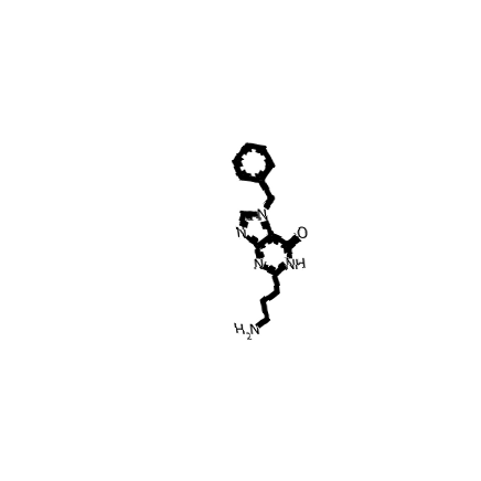 NCCCc1nc2ncn(Cc3ccccc3)c2c(=O)[nH]1